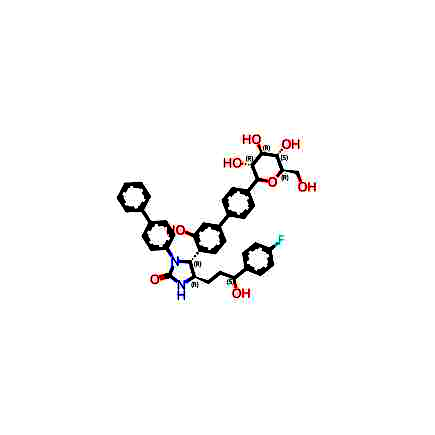 O=C1N[C@H](CC[C@H](O)c2ccc(F)cc2)[C@@H](c2ccc(-c3ccc(C4O[C@H](CO)[C@@H](O)[C@H](O)[C@H]4O)cc3)cc2O)N1c1ccc(-c2ccccc2)cc1